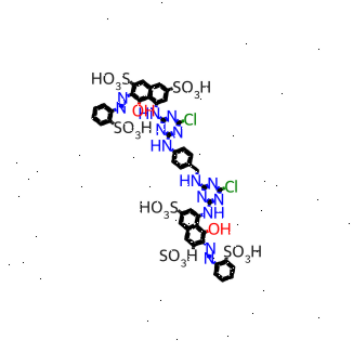 O=S(=O)(O)c1cc(Nc2nc(Cl)nc(NCc3ccc(Nc4nc(Cl)nc(Nc5cc(S(=O)(=O)O)cc6cc(S(=O)(=O)O)c(N=Nc7ccccc7S(=O)(=O)O)c(O)c56)n4)cc3)n2)c2c(O)c(N=Nc3ccccc3S(=O)(=O)O)c(S(=O)(=O)O)cc2c1